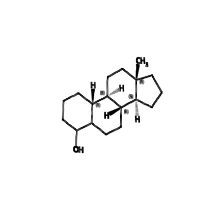 C[C@@]12CCC[C@H]1[C@@H]1CCC3C(O)CCC[C@@H]3[C@H]1CC2